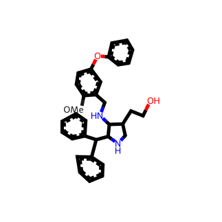 COc1ccc(Oc2ccccc2)cc1CNC1C(CCO)CNC1C(c1ccccc1)c1ccccc1